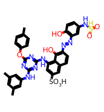 Cc1ccc(Oc2nc(Nc3cc(C)cc(C)c3)nc(Nc3cc(S(=O)(=O)O)cc4ccc(N=Nc5cc(N[SH](=O)=O)ccc5O)c(O)c34)n2)cc1